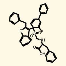 O=C(O)C(Cc1ccccc1)NCS(=O)(=O)C1(c2c(Cc3ccccc3)oc3ccccc23)C=CC(c2ccccc2)C=C1F